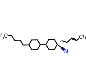 C/C=C/CC[C@]1(C#N)CC[C@@H](C2CCC(CCCCC)CC2)CC1